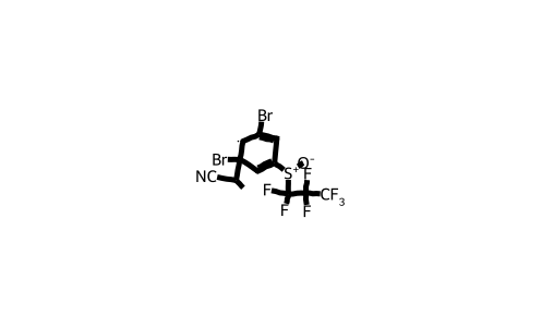 CC(C#N)C1(Br)[CH]C(Br)=CC([S+]([O-])C(F)(F)C(F)(F)C(F)(F)F)=C1